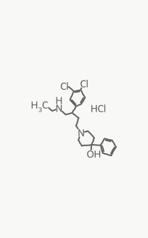 CCNCC(CCN1CCC(O)(c2ccccc2)CC1)c1ccc(Cl)c(Cl)c1.Cl